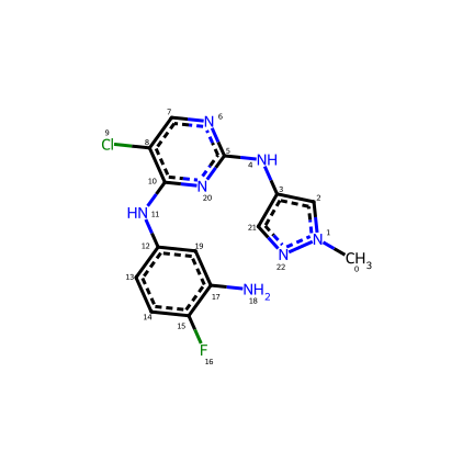 Cn1cc(Nc2ncc(Cl)c(Nc3ccc(F)c(N)c3)n2)cn1